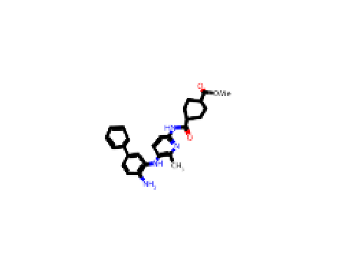 COC(=O)C1CCC(C(=O)Nc2ccc(Nc3cc(-c4ccccc4)ccc3N)c(C)n2)CC1